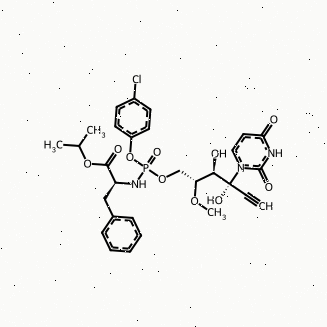 C#C[C@@](O)([C@H](O)[C@@H](COP(=O)(N[C@@H](Cc1ccccc1)C(=O)OC(C)C)Oc1ccc(Cl)cc1)OC)n1ccc(=O)[nH]c1=O